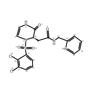 O=C(C[C@@H]1C(=O)NC=CN1S(=O)(=O)c1cccc(Cl)c1Cl)NCc1ccccn1